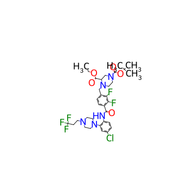 CCOC(=O)C1CN(C(=O)OC(C)(C)C)CCN1Cc1ccc(C(=O)Nc2ccc(Cl)cc2N2CCN(CCC(F)(F)F)CC2)c(F)c1F